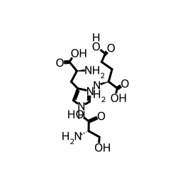 N[C@@H](CCC(=O)O)C(=O)O.N[C@@H](CO)C(=O)O.N[C@@H](Cc1c[nH]cn1)C(=O)O